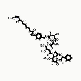 CC[C@H](C)[C@@H]([C@H](O)CC(=O)N1CCC[C@H]1[C@H](OC)[C@@H](C)C(=O)N[C@H](C)[C@@H](O)c1ccccc1)N(C)C(=O)[C@@H](NC(=O)[C@H](C(C)C)N(C)C(=O)OCc1ccc(NC(=O)CCCCCNC(=O)/C=C\C=O)cc1)C(C)C